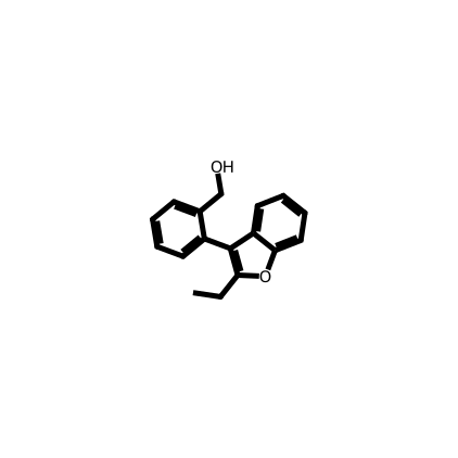 CCc1oc2ccccc2c1-c1ccccc1CO